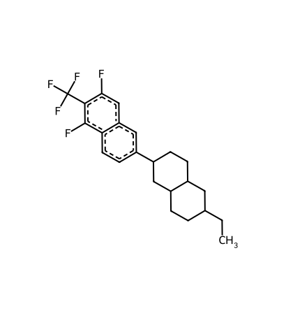 CCC1CCC2CC(c3ccc4c(F)c(C(F)(F)F)c(F)cc4c3)CCC2C1